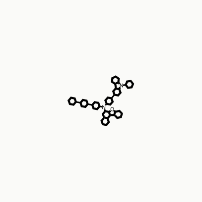 c1ccc(-c2ccc(-c3ccc(N(c4ccc(-c5ccc6c(c5)c5ccccc5n6-c5ccccc5)cc4)c4cc5ccccc5c5c4oc4ccccc45)cc3)cc2)cc1